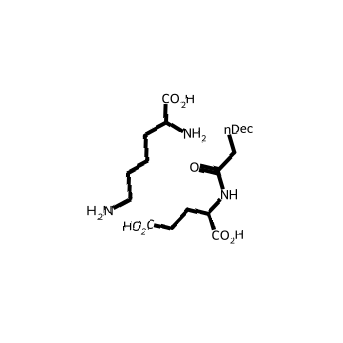 CCCCCCCCCCCC(=O)NC(CCC(=O)O)C(=O)O.NCCCCC(N)C(=O)O